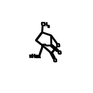 CCCCCC[N+]12CC(C)C(OC1=O)C2=O